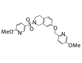 COc1ccc(COc2ccc3c(c2)CN(S(=O)(=O)c2ccc(OC)nc2)CC3)nc1